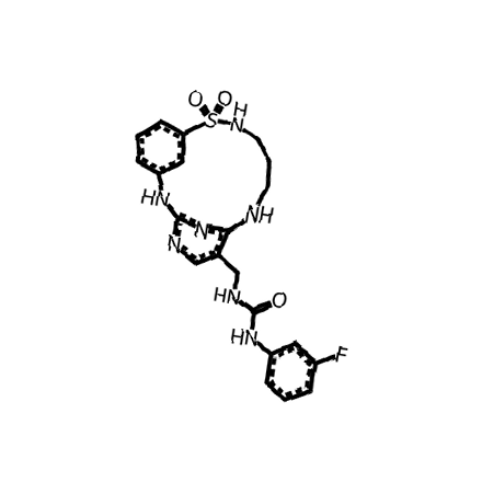 O=C(NCc1cnc2nc1NCCCNS(=O)(=O)c1cccc(c1)N2)Nc1cccc(F)c1